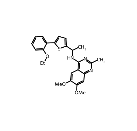 CCOc1ccccc1-c1ccc(C(C)Nc2nc(C)nc3cc(OC)c(OC)cc23)s1